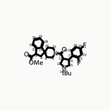 COC(=O)C1CC2(CCN(C(=O)C3CN(C(C)(C)C)CC3c3ccc(F)cc3F)CC2)c2ccccc21